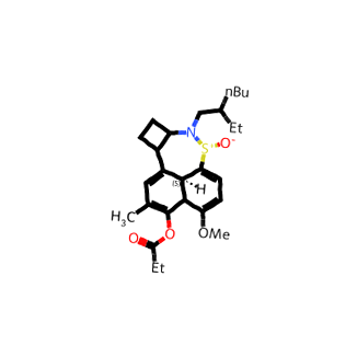 CCCCC(CC)CN1C2CCC2C2=CC(C)=C(OC(=O)CC)C3C(OC)=CC=C([C@H]23)[S+]1[O-]